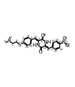 CN(C)CCSc1ccc(C=c2[nH]c(=O)c(=Cc3ccc([N+](=O)[O-])cc3)[nH]c2=O)cc1